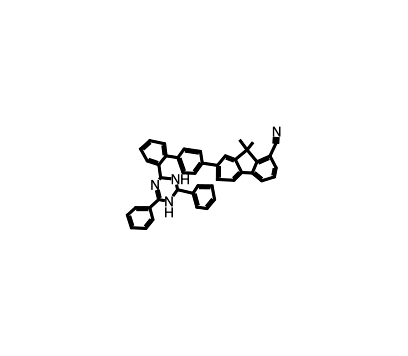 CC1(C)c2cc(-c3ccc(-c4ccccc4C4N=C(c5ccccc5)NC(c5ccccc5)N4)cc3)ccc2-c2cccc(C#N)c21